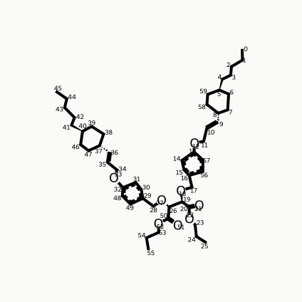 CCCCC[C@H]1CC[C@H](/C=C/COc2ccc(CO[C@@H](C(=O)OCCC)[C@@H](OCc3ccc(OC/C=C/[C@H]4CC[C@H](CCCCC)CC4)cc3)C(=O)OCCC)cc2)CC1